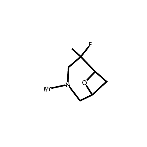 CC(C)N1CC2CC(O2)C(C)(F)C1